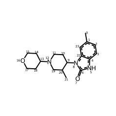 Cc1ccc2[nH]c(=O)n(C3CCN(C4CCOCC4)CC3C)c2c1